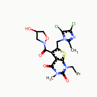 Cc1nc(Cl)c(Cl)n1Cc1sc2c(c1C(=O)N1CC(O)CO1)c(=O)n(C)c(=O)n2CC(C)C